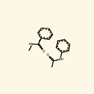 CC(=O)Nc1ccccc1.CNC(=O)c1ccccc1